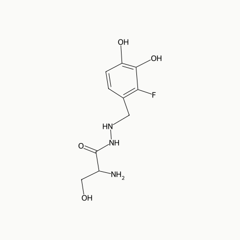 NC(CO)C(=O)NNCc1ccc(O)c(O)c1F